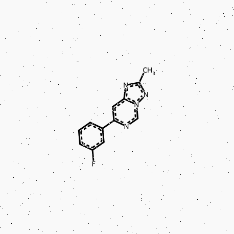 Cc1nc2cc(-c3cccc(F)c3)ncn2n1